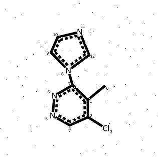 Cc1c(Cl)cnnc1-n1ccnc1